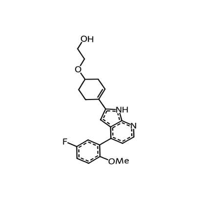 COc1ccc(F)cc1-c1ccnc2[nH]c(C3=CCC(OCCO)CC3)cc12